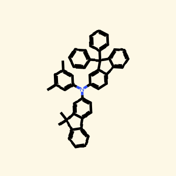 Cc1cc(C)cc(N(c2ccc3c(c2)C(C)(C)c2ccccc2-3)c2ccc3c(c2)C(c2ccccc2)(c2ccccc2)c2ccccc2-3)c1